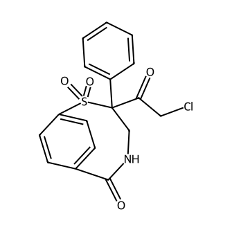 O=C1NCC(C(=O)CCl)(c2ccccc2)S(=O)(=O)c2ccc1cc2